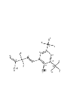 CC(C)(N=Cc1cc(C(C)(C)C)cc(C(C)(C)C)c1O)C(=O)O